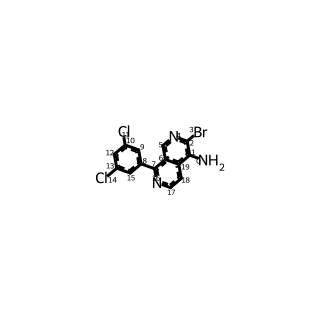 Nc1c(Br)ncc2c(-c3cc(Cl)cc(Cl)c3)nccc12